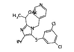 CC(=O)OC(C)c1nc(C(C)C)c(Sc2cc(Cl)cc(Cl)c2)n1Cc1ccncc1